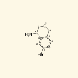 NC1COCc2ccc(Br)cc21